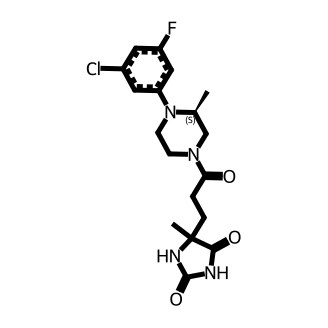 C[C@H]1CN(C(=O)CCC2(C)NC(=O)NC2=O)CCN1c1cc(F)cc(Cl)c1